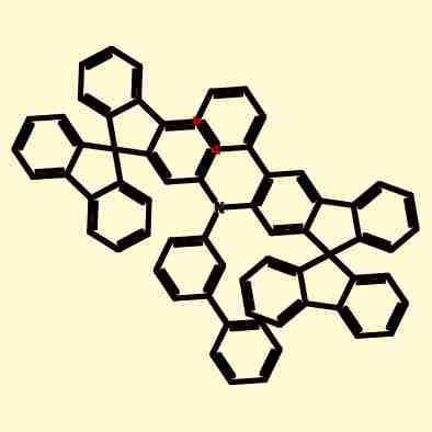 c1ccc(-c2cccc(N(c3ccc4c(c3)C3(c5ccccc5-c5ccccc53)c3ccccc3-4)c3cc4c(cc3-c3ccccc3)-c3ccccc3C43c4ccccc4-c4ccccc43)c2)cc1